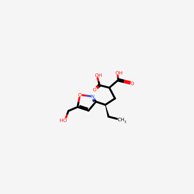 CC[C@H](CC(C(=O)O)C(=O)O)c1cc(CO)on1